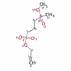 C#CCOS(=O)(=O)CCCP(C)(=O)OC